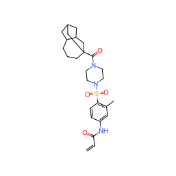 C=CC(=O)Nc1ccc(S(=O)(=O)N2CCN(C(=O)C34CCCC5CC(CC5C3)C4)CC2)c(C)c1